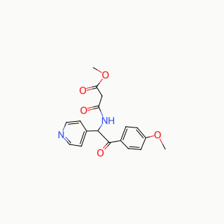 COC(=O)CC(=O)NC(C(=O)c1ccc(OC)cc1)c1ccncc1